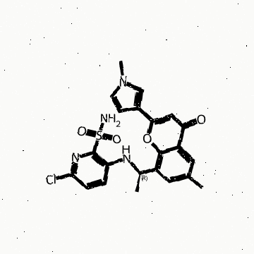 Cc1cc([C@@H](C)Nc2ccc(Cl)nc2S(N)(=O)=O)c2oc(-c3ccn(C)c3)cc(=O)c2c1